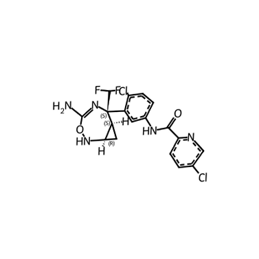 NC1=N[C@@](c2cc(NC(=O)c3ccc(Cl)cn3)ccc2Cl)(C(F)F)[C@H]2C[C@H]2NO1